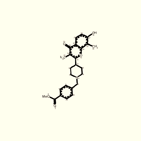 COC(=O)c1ccc(CN2CCC(c3oc4c(C)c(O)ccc4c(=O)c3C)CC2)cc1